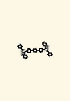 c1ccc(-c2nc(-c3ccc(-c4ccc(-c5ccc(-c6nc(-c7ccccc7)nc7oc8ccccc8c67)cc5)cc4)cc3)c3c(n2)oc2ccccc23)cc1